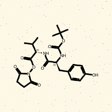 CC(C)[C@H](NC(=O)[C@H](Cc1ccc(O)cc1)NC(=O)OC(C)(C)C)C(=O)ON1C(=O)CCC1=O